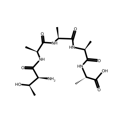 C[C@H](NC(=O)[C@H](C)NC(=O)[C@H](C)NC(=O)[C@H](C)NC(=O)[C@@H](N)[C@@H](C)O)C(=O)O